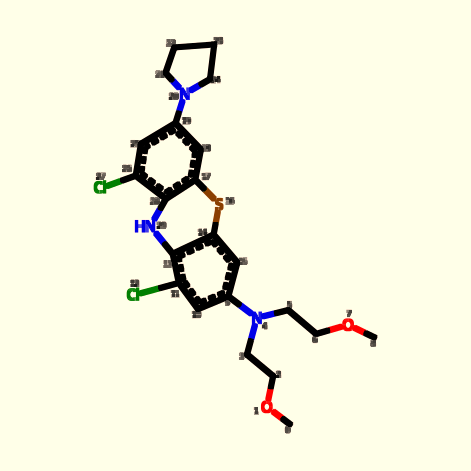 COCCN(CCOC)c1cc(Cl)c2c(c1)Sc1cc(N3CCCC3)cc(Cl)c1N2